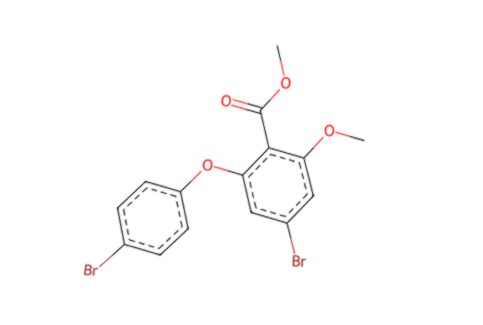 COC(=O)c1c(OC)cc(Br)cc1Oc1ccc(Br)cc1